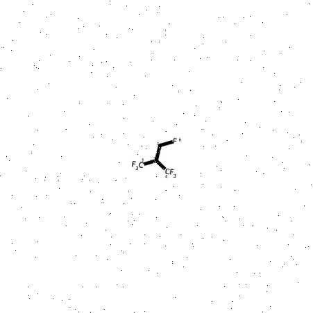 F[CH]C(C(F)(F)F)C(F)(F)F